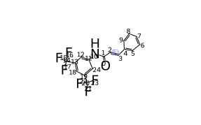 O=C(/C=C/c1ccccc1)Nc1cc(C(F)(F)F)cc(C(F)(F)F)c1